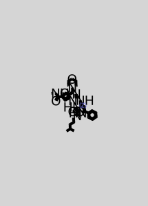 CNC(=O)c1cc2nc(N/C(=C/C(=N)c3ccccc3)NS(=O)(=O)N(C)CCCC(C)C)nc(N3CCOCC3)c2o1